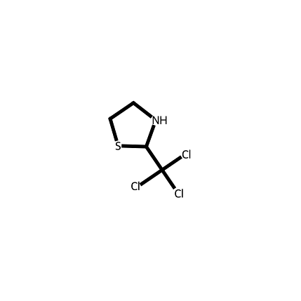 ClC(Cl)(Cl)C1NCCS1